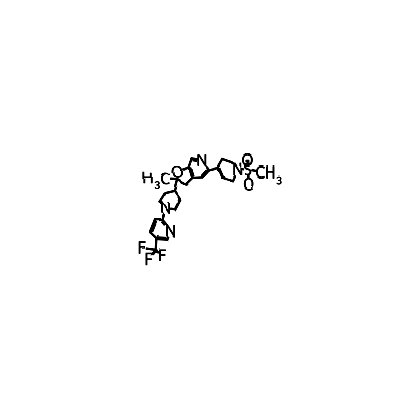 CC1(C2CCN(c3ccc(C(F)(F)F)cn3)CC2)Cc2cc(C3=CCN(S(C)(=O)=O)CC3)ncc2O1